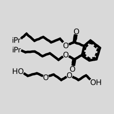 CC(C)CCCCCOC(=O)c1ccccc1C(=O)OCCCCCC(C)C.OCCOCCOCCO